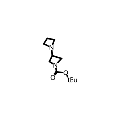 CC(C)(C)OC(=O)N1CC(N2CCC2)C1